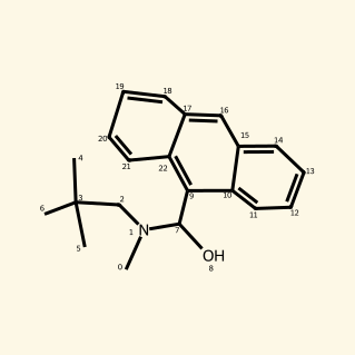 CN(CC(C)(C)C)C(O)c1c2ccccc2cc2ccccc12